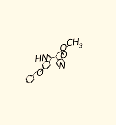 CCOC(=O)CC(c1ccncc1)c1c[nH]c2cc(OCc3ccccc3)ccc12